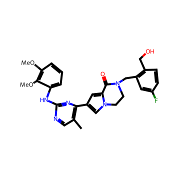 COc1cccc(Nc2ncc(C)c(-c3cc4n(c3)CCN(Cc3cc(F)ccc3CO)C4=O)n2)c1OC